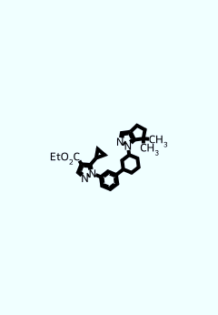 CCOC(=O)c1cnn(-c2cccc(C3CCCC(n4ncc5c4C(C)(C)CC5)C3)c2)c1C1CC1